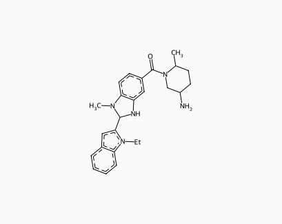 CCn1c(C2Nc3cc(C(=O)N4CC(N)CCC4C)ccc3N2C)cc2ccccc21